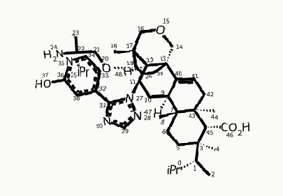 CC(C)[C@@H](C)[C@@]1(C)CC[C@]2(C)[C@H]3CC[C@@H]4[C@@]5(COC[C@@]4(C)[C@@H](OC[C@](C)(N)C(C)C)[C@H](n4ncnc4-c4ccnc(O)c4)C5)C3=CC[C@@]2(C)[C@@H]1C(=O)O